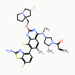 C=CC(=O)N1C[C@H](N(C)c2nc(OC[C@@]34CCCN3C[C@H](F)C4)nc3c(F)c(-c4ccc(F)c5sc(N)nc45)c(C(F)(F)F)cc23)C[C@H]1C